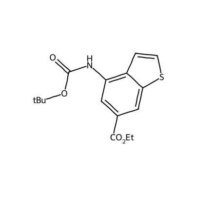 CCOC(=O)c1cc(NC(=O)OC(C)(C)C)c2ccsc2c1